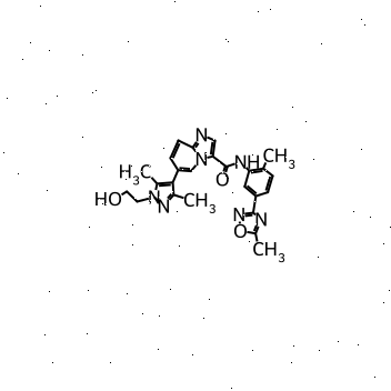 Cc1nc(-c2ccc(C)c(NC(=O)c3cnc4ccc(-c5c(C)nn(CCO)c5C)cn34)c2)no1